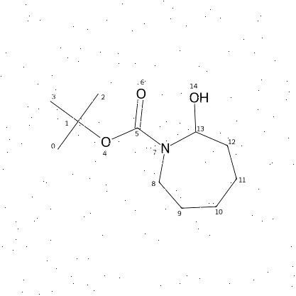 CC(C)(C)OC(=O)N1CCCCCC1O